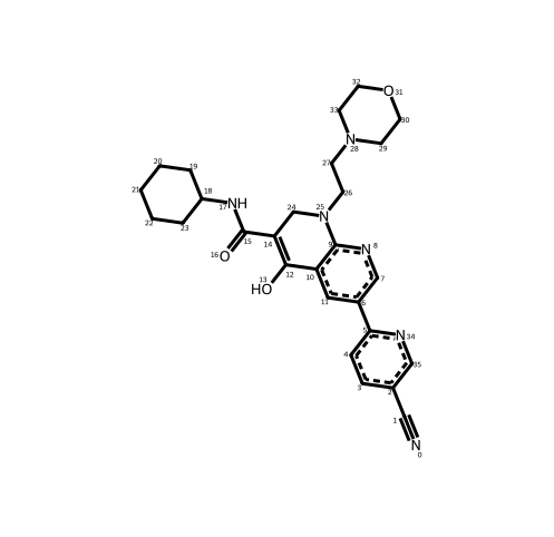 N#Cc1ccc(-c2cnc3c(c2)C(O)=C(C(=O)NC2CCCCC2)CN3CCN2CCOCC2)nc1